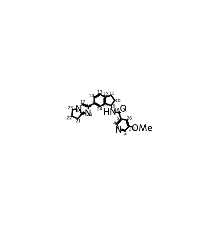 COc1cncc(C(=O)N[C@@H]2CCc3ccc(-c4cn5c(n4)CCC5)cc32)c1